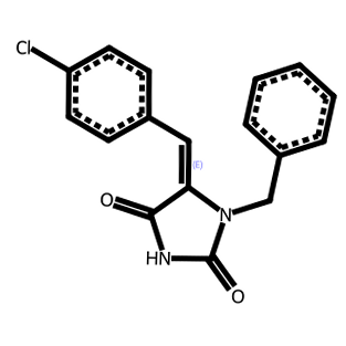 O=C1NC(=O)N(Cc2ccccc2)/C1=C/c1ccc(Cl)cc1